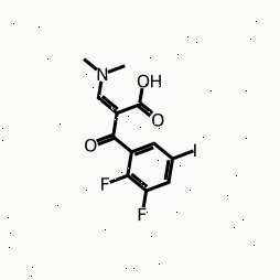 CN(C)C=C(C(=O)O)C(=O)c1cc(I)cc(F)c1F